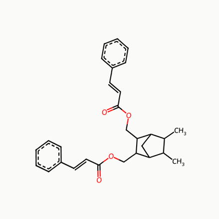 CC1C(C)C2CC1C(COC(=O)/C=C/c1ccccc1)C2COC(=O)/C=C/c1ccccc1